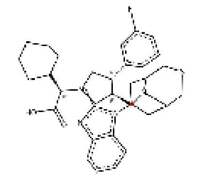 Cc1nc2ccccc2n1C1CC2CSCC(C1)N2C[C@H]1CN([C@@H](C(=O)O)C2CCCCC2)C[C@@H]1c1cccc(F)c1